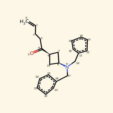 C=CCCC(=O)[C@H]1C[C@@H](N(Cc2ccccc2)Cc2ccccc2)C1